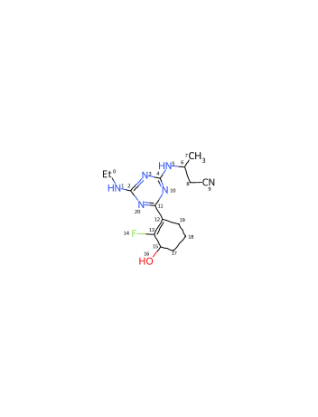 CCNc1nc(NC(C)CC#N)nc(C2=C(F)C(O)CCC2)n1